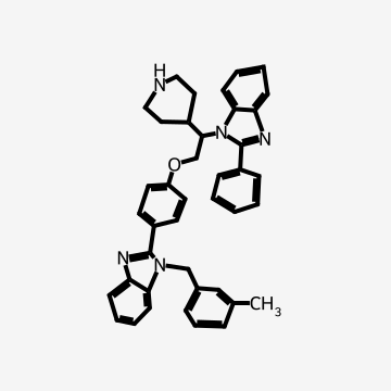 Cc1cccc(Cn2c(-c3ccc(OCC(C4CCNCC4)n4c(-c5ccccc5)nc5ccccc54)cc3)nc3ccccc32)c1